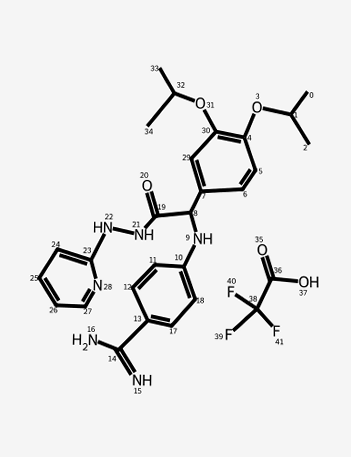 CC(C)Oc1ccc(C(Nc2ccc(C(=N)N)cc2)C(=O)NNc2ccccn2)cc1OC(C)C.O=C(O)C(F)(F)F